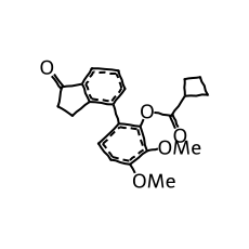 COc1ccc(-c2cccc3c2CCC3=O)c(OC(=O)C2CCC2)c1OC